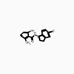 Cc1cccc(O)c1C(=O)N[C@@H]1CCc2cc(Cl)ccc21